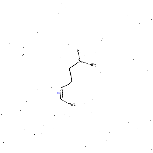 CC/C=C\CCN(CC)C(C)C